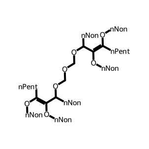 CCCCCCCCCOC(CCCCC)=C(OCCCCCCCCC)C(CCCCCCCCC)OCOCOC(CCCCCCCCC)C(OCCCCCCCCC)=C(CCCCC)OCCCCCCCCC